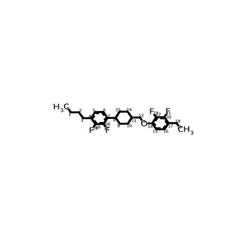 CCCCc1ccc(C2CCC(COc3ccc(CC)c(F)c3F)CC2)c(F)c1F